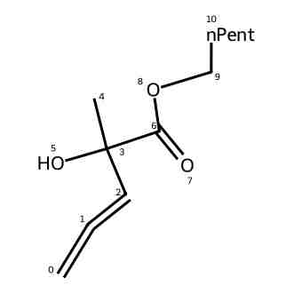 C=C=CC(C)(O)C(=O)OCCCCCC